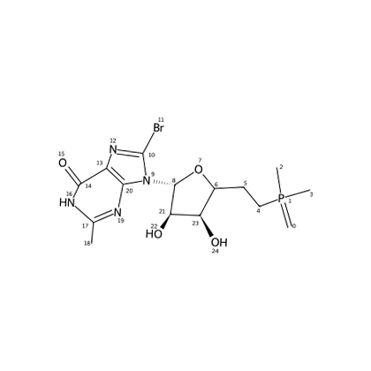 C=P(C)(C)CCC1O[C@@H](n2c(Br)nc3c(=O)[nH]c(C)nc32)[C@H](O)[C@@H]1O